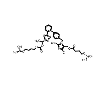 CCCCc1nc(Cl)c(COC(=O)CCCON(O)O)n1Cc1ccc(-c2ccccc2-c2nnn(C(C)OC(=O)OCCCCON(O)O)n2)cc1